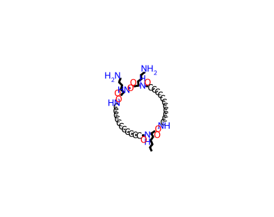 CCCCCC1NC(=O)CCCCCCCCCCCNOC(=O)C(CCCCN)NOC(=O)C(CCCCN)NC(=O)CCCCCCCCCCCNOC1=O